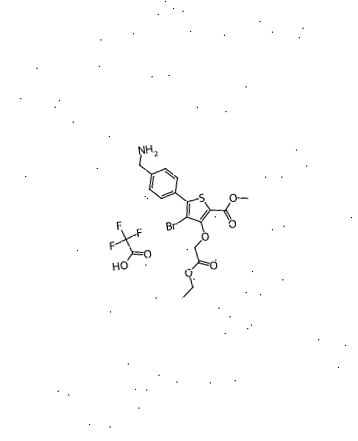 CCOC(=O)COc1c(C(=O)OC)sc(-c2ccc(CN)cc2)c1Br.O=C(O)C(F)(F)F